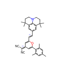 [C-]#[N+]/C(C#N)=C1C=C(/C=C/c2cc3c4c(c2)C(C)(C)CCN4CCC3(C)C)OC(c2c(C)cc(C)cc2C)=C/1